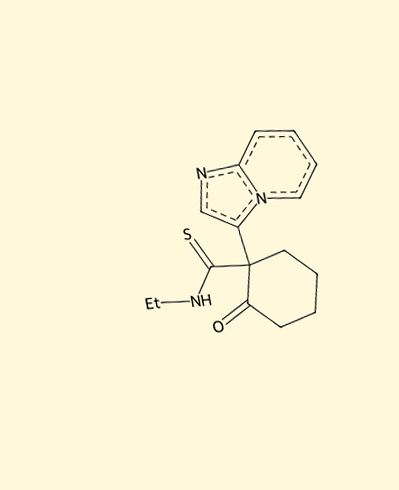 CCNC(=S)C1(c2cnc3ccccn23)CCCCC1=O